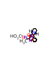 C/C(=N\OCC(=O)O)c1nc2ccccc2n([C@H]2C[C@H]3CCC[C@@H](C2)N3C2CC3CCCC(C3)C2)c1=O